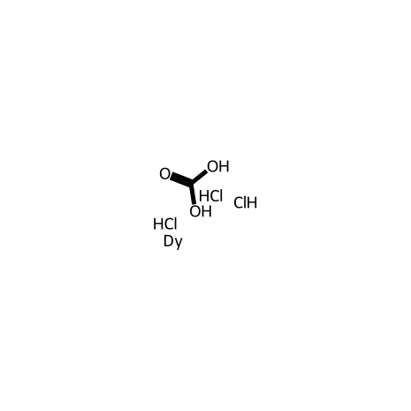 Cl.Cl.Cl.O=C(O)O.[Dy]